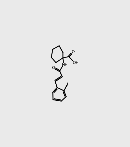 O=C(C=Cc1ccccc1I)NC1(C(=O)O)CCCCC1